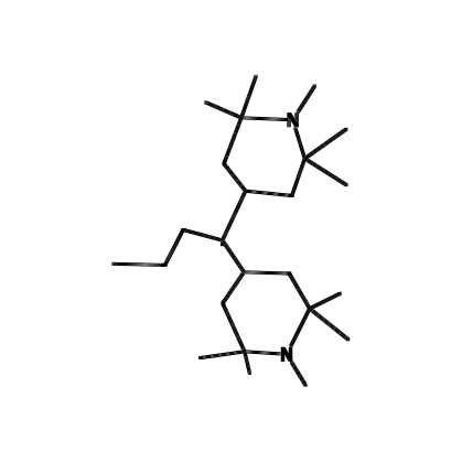 CCC[C](C1CC(C)(C)N(C)C(C)(C)C1)C1CC(C)(C)N(C)C(C)(C)C1